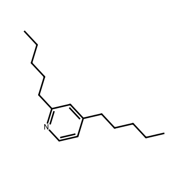 CCCCCc1ccnc(CCCCC)c1